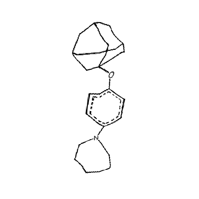 c1cc(N2CCCCC2)ccc1OC12CC3CC(CC(C3)C1)C2